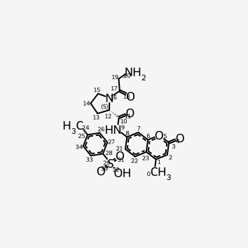 Cc1cc(=O)oc2cc(NC(=O)[C@@H]3CCCN3C(=O)CN)ccc12.Cc1ccc(S(=O)(=O)O)cc1